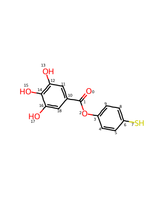 O=C(Oc1ccc(S)cc1)c1cc(O)c(O)c(O)c1